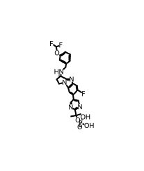 CC(C)(OP(=O)(O)O)c1ncc(-c2cc3c(cc2F)nc2n3CC[C@H]2NCc2cccc(OC(F)F)c2)cn1